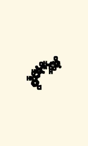 Cc1[nH]c(C=C2C(=O)Nc3ccc(Cl)cc32)c(C)c1C(=O)NCC(O)CN1C(=O)CN(C)C1=O